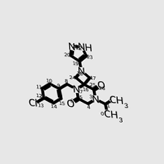 CC(C)N1CC(=O)N(Cc2ccc(Cl)cc2)C2(CN(c3cn[nH]c3)C2)C1=O